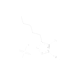 CCCCCn1ncc(N)c1N.O=S(=O)(O)O